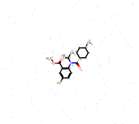 COC(=O)c1cc(S)ccc1N(C(=O)[C@H]1CC[C@H](C)CC1)C(C)C